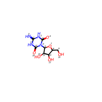 N=c1[nH]c(=O)n(C2OC(CO)C(O)C2O)c(=O)[nH]1